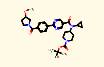 COC1CCN(C(=O)c2ccc(-c3ncc(C(=O)N(C4CC4)C4CCN(C(=O)OC(C)(C)C)CC4)cn3)cc2)C1